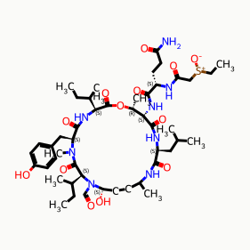 CCC(C)[C@@H]1NC(=O)[C@H](Cc2ccc(O)cc2)N(C)C(=O)[C@H](C(C)CC)N(C=O)[C@@H](O)CCC(C)NC(=O)[C@H](CC(C)C)NC(=O)[C@@H](NC(=O)[C@H](CCC(N)=O)NC(=O)C[S+]([O-])CC)[C@@H](C)OC1=O